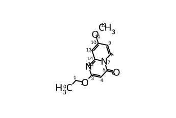 CCOc1cc(=O)n2ccc(OC)cc2n1